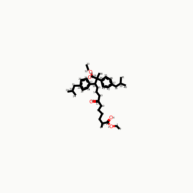 CCOC(=O)C(C)CCCCC(=O)CCCC(c1ccc(CC(C)C)cc1)C(C)(C(=O)OCC)c1ccc(CC(C)C)cc1